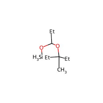 CCC(O[SiH3])OC(C)(CC)CC